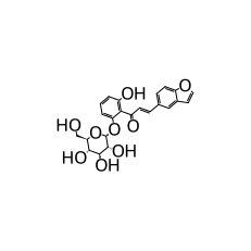 O=C(C=Cc1ccc2occc2c1)c1c(O)cccc1O[C@@H]1O[C@H](CO)[C@@H](O)[C@H](O)[C@H]1O